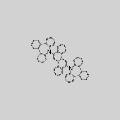 c1ccc2c(c1)-c1ccccc1N(c1cc3c4ccccc4c(N4c5ccccc5-c5ccccc5-c5ccccc54)cc3c3ccccc13)c1ccccc1-2